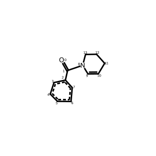 O=C(c1ccccc1)N1C=CCCC1